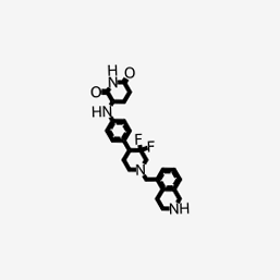 O=C1CCC(Nc2ccc(C3CCN(Cc4cccc5c4CCNC5)CC3(F)F)cc2)C(=O)N1